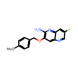 COc1ccc(COc2cc3ncc(F)cc3nc2N)cc1